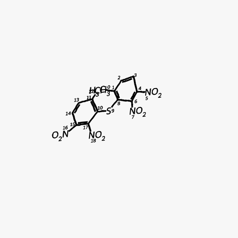 Cc1ccc([N+](=O)[O-])c([N+](=O)[O-])c1Sc1c(C)ccc([N+](=O)[O-])c1[N+](=O)[O-]